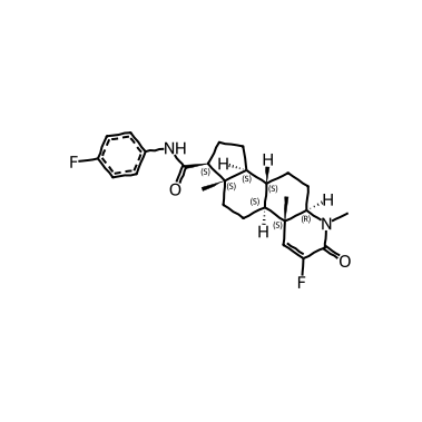 CN1C(=O)C(F)=C[C@]2(C)[C@H]3CC[C@]4(C)[C@@H](C(=O)Nc5ccc(F)cc5)CC[C@H]4[C@@H]3CC[C@@H]12